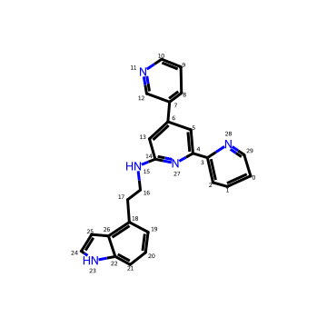 c1ccc(-c2cc(-c3cccnc3)cc(NCCc3cccc4[nH]ccc34)n2)nc1